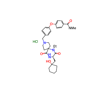 CCN1C(=O)[C@@H](CC2(O)CCCCC2)NC(=O)C12CCN(Cc1ccc(Oc3ccc(C(=O)NC)cc3)cc1)CC2.Cl